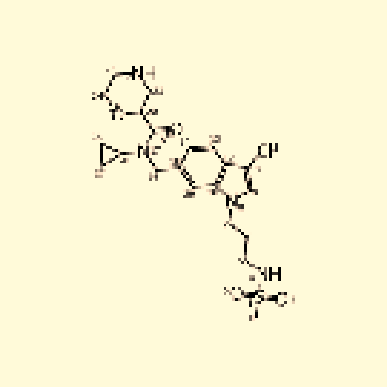 CS(=O)(=O)NCCCn1cc(Cl)c2ccc(CN(C(=O)C3CNCCO3)C3CC3)cc21